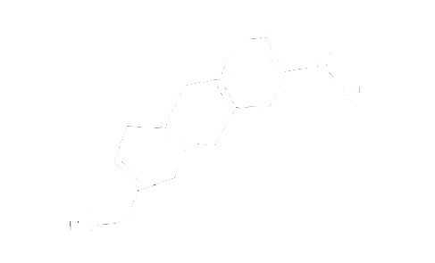 COC1=CCC2=C(C1)CC1=C(CC=C(OC)C1)C2